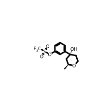 C[C@H]1C[C@@](O)(c2cccc(OS(=O)(=O)C(F)(F)F)c2)CCO1